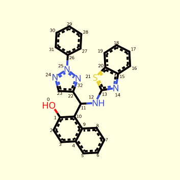 Oc1ccc2ccccc2c1C(Nc1nc2ccccc2s1)c1cnn(-c2ccccc2)n1